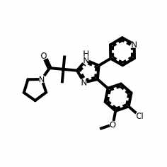 COc1cc(-c2nc(C(C)(C)C(=O)N3CCCC3)[nH]c2-c2ccncc2)ccc1Cl